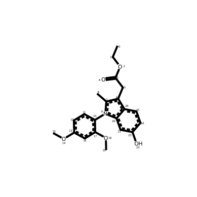 CCOC(=O)Cc1c(C)n(-c2ccc(OC)cc2OC)c2cc(O)ccc12